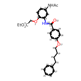 CCOC(=O)COc1ccc(NC(C)=O)cc1NC(=O)c1ccc(OCCCCc2ccccc2)cc1